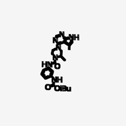 Cc1c[nH]c2ncnc(N3CCN(C(=O)Nc4cccc(NC(=O)OCC(C)C)c4)C(C)C3)c12